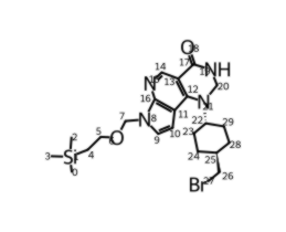 C[Si](C)(C)CCOCn1ccc2c3c(cnc21)C(=O)NCN3[C@H]1CC[C@H](CBr)CC1